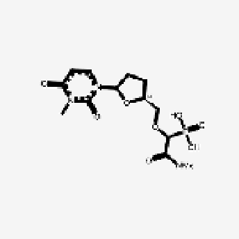 CNC(=O)C(OC[C@@H]1CCC(n2ccc(=O)n(C)c2=O)O1)P(=O)(O)O